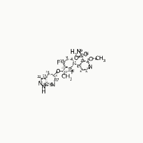 COc1nccc(-c2ccc(F)c(C(C)Oc3cnc4[nH]ncc4c3)c2F)c1S(N)(=O)=O